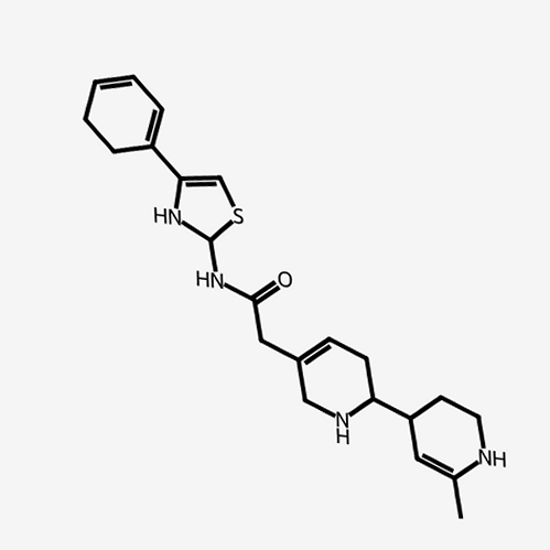 CC1=CC(C2CC=C(CC(=O)NC3NC(C4=CC=CCC4)=CS3)CN2)CCN1